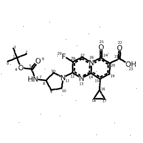 CC(C)(C)OC(=O)NC1CCN(c2nc3c(C4CC4)cc(C(=O)O)c(=O)n3cc2F)C1